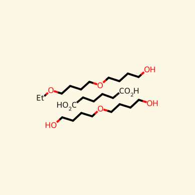 CCOCCCCOCCCCO.O=C(O)CCCCC(=O)O.OCCCCOCCCCO